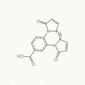 O=C(O)c1ccc(N2C(=O)C=CC2=O)c(N2C(=O)C=CC2=O)c1